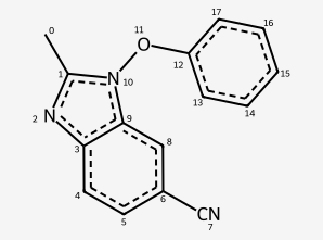 Cc1nc2ccc(C#N)cc2n1Oc1ccccc1